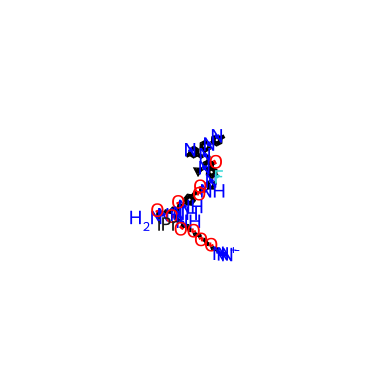 Cc1ccc(N2CCC[C@H](N(Cc3ccnc(C)c3)Cc3cn(C4CC4)c4cc(N5CC[C@@H](NC(=O)OCc6ccc(NC(=O)C(CCCNC(N)=O)NC(=O)C(NC(=O)CCOCCOCCOCCN=[N+]=[N-])C(C)C)cc6)C5)c(F)cc4c3=O)C2)cn1